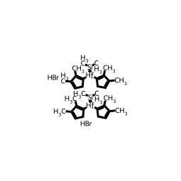 Br.Br.CC1=CC[C]([Hf]([C]2=C(C)C(C)=CC2)=[Si](C)C)=C1C.CC1=CC[C]([Hf]([C]2=C(C)C(C)=CC2)=[Si](C)C)=C1C